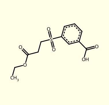 CCOC(=O)CCS(=O)(=O)c1cccc(C(=O)O)c1